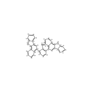 Nc1c(-c2cc3c4ccccc4oc3c3ccccc23)cccc1-c1cc2c3ccccc3oc2c2ccccc12